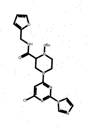 CCCCN1CCN(c2cc(Cl)nc(-n3ccnc3)n2)CC1C(=O)NCc1ccco1